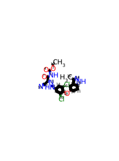 CCOC(=O)NC(=O)/C(C#N)=N/Nc1cc(Cl)c(Oc2ccc3[nH]nc(C)c3c2)c(Cl)c1